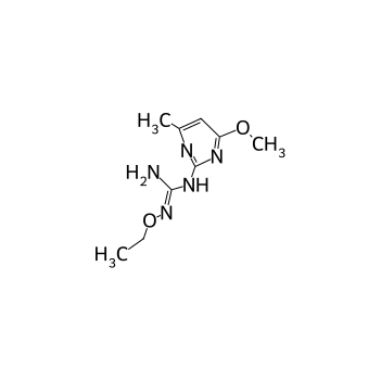 CCO/N=C(\N)Nc1nc(C)cc(OC)n1